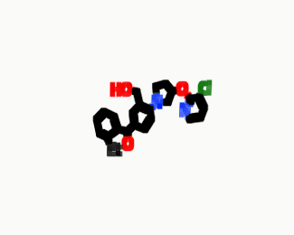 CCc1ccccc1C(=O)c1ccc(N2CCC(Oc3ncccc3Cl)C2)c(CO)c1